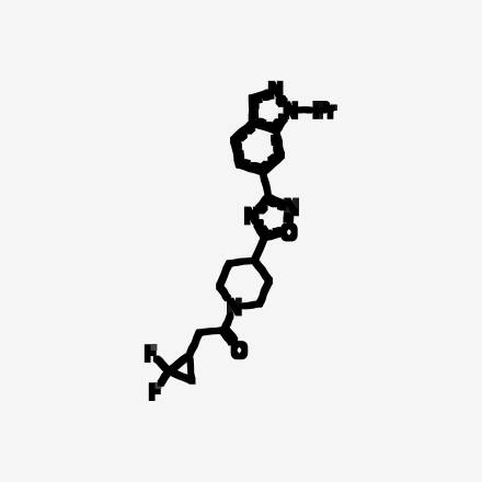 CC(C)n1ncc2ccc(-c3noc(C4CCN(C(=O)CC5CC5(F)F)CC4)n3)cc21